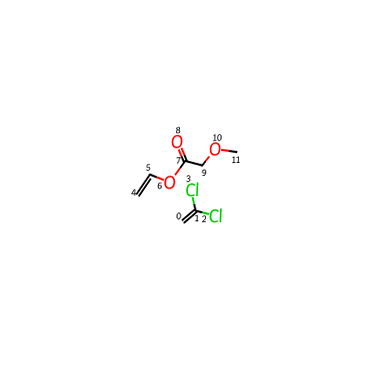 C=C(Cl)Cl.C=COC(=O)COC